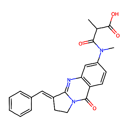 CC(C(=O)O)C(=O)N(C)c1ccc2c(=O)n3c(nc2c1)C(=Cc1ccccc1)CC3